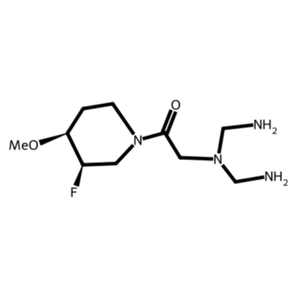 CO[C@H]1CCN(C(=O)CN(CN)CN)C[C@H]1F